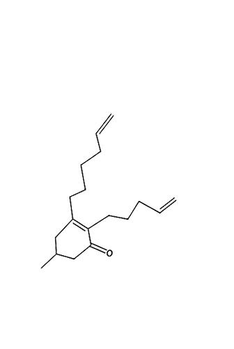 C=CCCCCC1=C(CCCC=C)C(=O)CC(C)C1